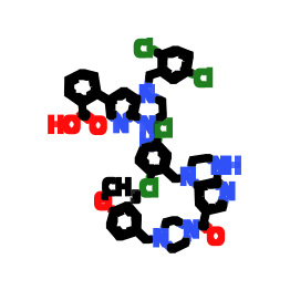 COc1ccc(CN2CCN(C(=O)c3cnc4c(c3)N(Cc3cc(Cl)ccc3Cl)CCN4)CC2)cc1.O=C(O)c1ccccc1-c1cnc2c(c1)N(Cc1cc(Cl)ccc1Cl)CCN2